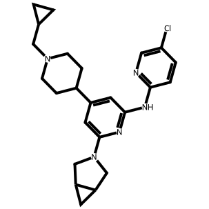 Clc1ccc(Nc2cc(C3CCN(CC4CC4)CC3)cc(N3CC4CC4C3)n2)nc1